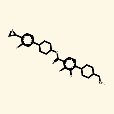 CCC1CCC(c2ccc(C(=O)OC3CCC(c4ccc(C5CO5)c(F)c4)CC3)c(F)c2F)CC1